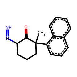 CC1(c2cccc3ccccc23)CCCC(N=N)C1=O